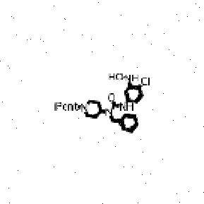 CCCC(C)N1CCC(N(Cc2ccccc2)C(=O)Nc2ccc(Cl)c(NO)c2)CC1